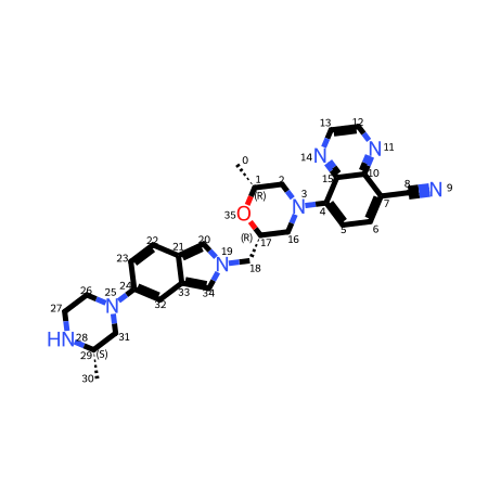 C[C@@H]1CN(c2ccc(C#N)c3nccnc23)C[C@H](Cn2cc3ccc(N4CCN[C@@H](C)C4)cc3c2)O1